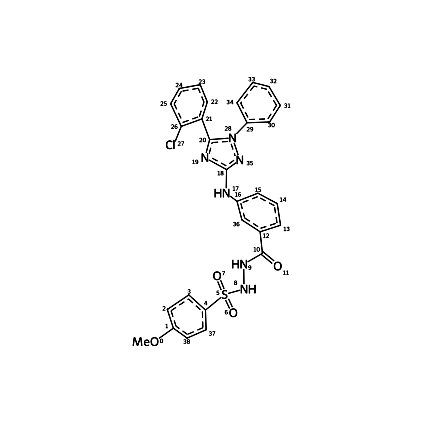 COc1ccc(S(=O)(=O)NNC(=O)c2cccc(Nc3nc(-c4ccccc4Cl)n(-c4ccccc4)n3)c2)cc1